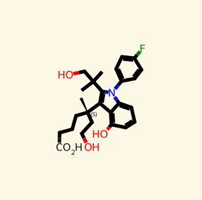 CC(C)(CO)c1c([C@](C)(CCO)CCCC(=O)O)c2c(O)cccc2n1-c1ccc(F)cc1